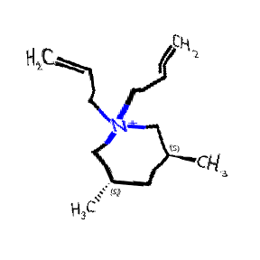 C=CC[N+]1(CC=C)C[C@@H](C)C[C@H](C)C1